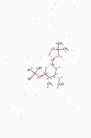 CC(C)[Si](O[C@H]1C[C@H]([C@@H]2COC(C)(C)O2)O[C@H](CC=O)[C@@H]1C)(C(C)C)C(C)C